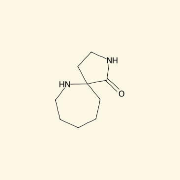 O=C1NCCC12CCCCCN2